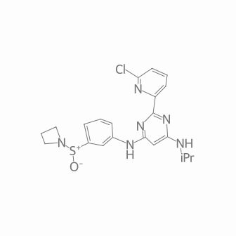 CC(C)Nc1cc(Nc2cccc([S+]([O-])N3CCC3)c2)nc(-c2cccc(Cl)n2)n1